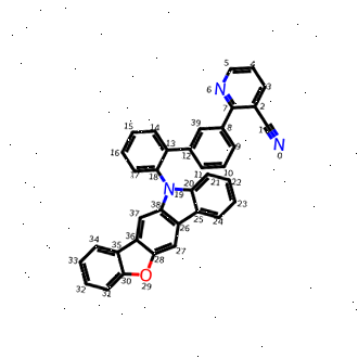 N#Cc1cccnc1-c1cccc(-c2ccccc2-n2c3ccccc3c3cc4oc5ccccc5c4cc32)c1